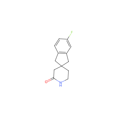 O=C1CC2(CCN1)Cc1ccc(F)cc1C2